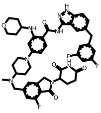 CN(Cc1cc(F)c2c(c1)CN(C1CCC(=O)NC1=O)C2=O)C1CCN(c2ccc(C(=O)Nc3n[nH]c4ccc(Cc5cc(F)cc(F)c5)cc34)c(NC3CCOCC3)c2)CC1